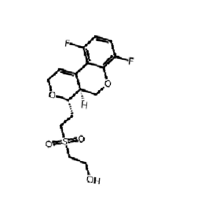 O=S(=O)(CCO)CC[C@@H]1OCC=C2c3c(F)ccc(F)c3OC[C@H]21